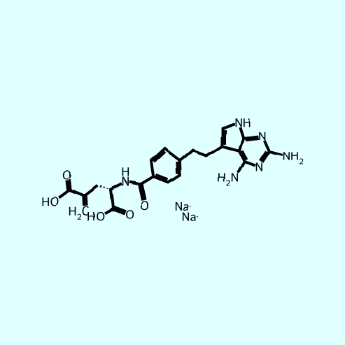 C=C(C[C@H](NC(=O)c1ccc(CCc2c[nH]c3nc(N)nc(N)c23)cc1)C(=O)O)C(=O)O.[Na].[Na]